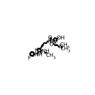 CCCNc1nc(Nc2cccc(F)c2)ncc1C#CCCCNC(=O)[C@@H]1C[C@@H](O)CN1C(=O)/C=C/CN(C)C